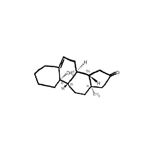 C[C@]12CC[C@H]3[C@@H](CC=C4CCCC[C@@]43C)[C@@H]1CC(=O)C2